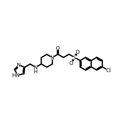 O=C(CCS(=O)(=O)c1ccc2cc(Cl)ccc2c1)N1CCC(NCc2c[nH]cn2)CC1